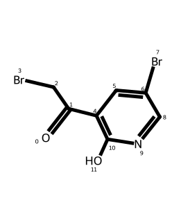 O=C(CBr)c1cc(Br)cnc1O